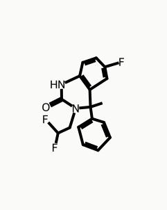 CC1(c2ccccc2)c2cc(F)ccc2NC(=O)N1CC(F)F